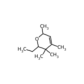 CCC1OC(C)C=C(C)C1(C)C